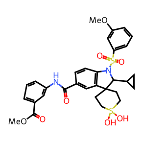 COC(=O)c1cccc(NC(=O)c2ccc3c(c2)C2(CCS(O)(O)CC2)C(C2CC2)N3S(=O)(=O)c2cccc(OC)c2)c1